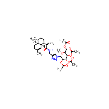 C=C(C(=O)NCc1cn(CC(OC(C)=O)C(OC(C)=O)C(OC(C)=O)C(COC(C)=O)OC)nn1)[C@@H]1CC[C@@H](C)[C@@H]2CCC(C)=C[C@@H]21